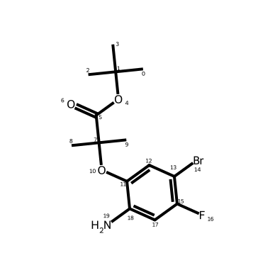 CC(C)(C)OC(=O)C(C)(C)Oc1cc(Br)c(F)cc1N